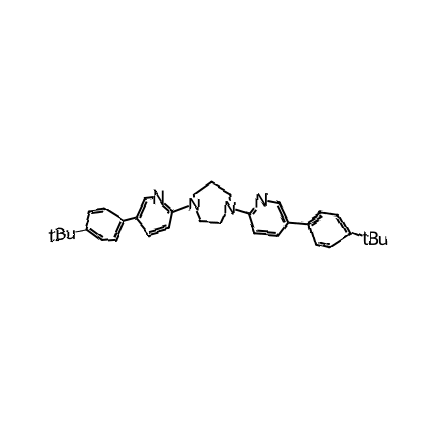 CC(C)(C)c1ccc(-c2ccc(N3CCCN(c4ccc(-c5ccc(C(C)(C)C)cc5)cn4)CC3)nc2)cc1